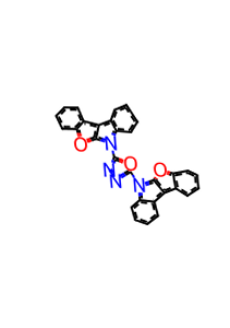 c1ccc2c(c1)oc1c2c2ccccc2n1-c1nnc(-n2c3ccccc3c3c4ccccc4oc32)o1